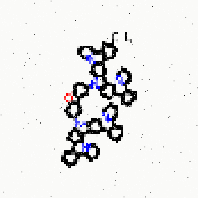 Cc1ccc(-c2ccc3c(c2)c2cc(-c4ccccc4-c4ccccn4)ccc2n3-c2ccc3oc4ccc(-n5c6ccc(-c7ccccc7-c7ccccn7)cc6c6cc(-c7ccccc7-c7ccccn7)ccc65)cc4c3c2)c(-c2ccccn2)c1